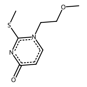 COCCn1ccc(=O)nc1SC